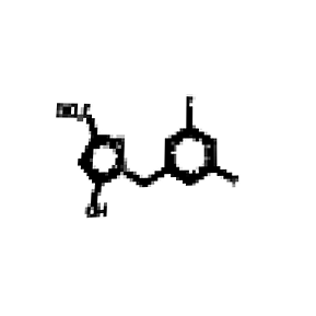 CCOC(=O)c1cc(O)n(Cc2cc(F)cc(F)c2)n1